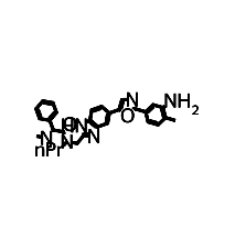 CCCN(Cc1nc2cc(-c3cnc(-c4ccc(C)c(N)c4)o3)ccc2[nH]1)C(=O)[C@@H](c1ccccc1)N(C)C